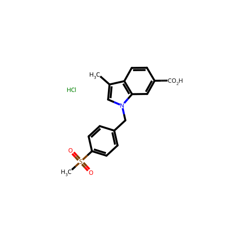 Cc1cn(Cc2ccc(S(C)(=O)=O)cc2)c2cc(C(=O)O)ccc12.Cl